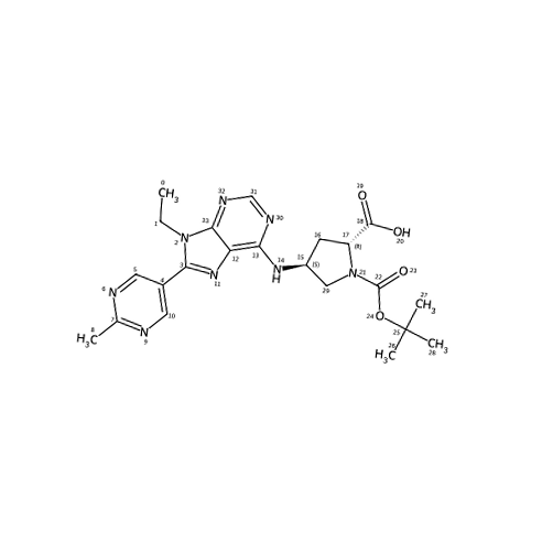 CCn1c(-c2cnc(C)nc2)nc2c(N[C@H]3C[C@H](C(=O)O)N(C(=O)OC(C)(C)C)C3)ncnc21